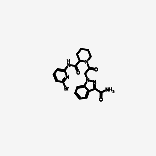 NC(=O)c1nn(CC(=O)N2CCCCC2C(=O)Nc2cccc(Br)n2)c2ccccc12